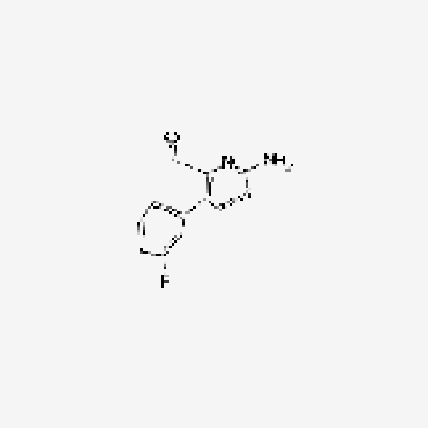 Nc1ccc(-c2cccc(F)c2)c(C=O)n1